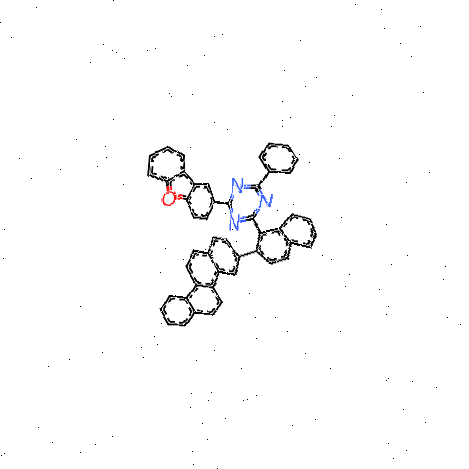 c1ccc(-c2nc(-c3ccc4oc5ccccc5c4c3)nc(-c3c(-c4ccc5ccc6c7ccccc7ccc6c5c4)ccc4ccccc34)n2)cc1